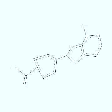 NC(=O)c1ccc(-c2nc3cccc(N)c3[nH]2)cc1